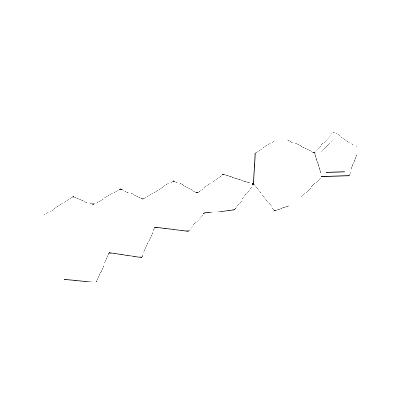 CCCCCCCCC1(CCCCCCCC)COc2c[nH]cc2OC1